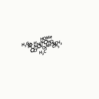 C=CC(=O)Nc1cc(Nc2ncc(Cl)c(Nc3ccccc3-c3ccn(C)n3)n2)c(OC)cc1N1CC[C@H](N(C)C)C1